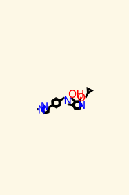 Cn1ccc(-c2ccc(CN3Cc4ccnc(OCC5CC5)c4C3O)cc2)n1